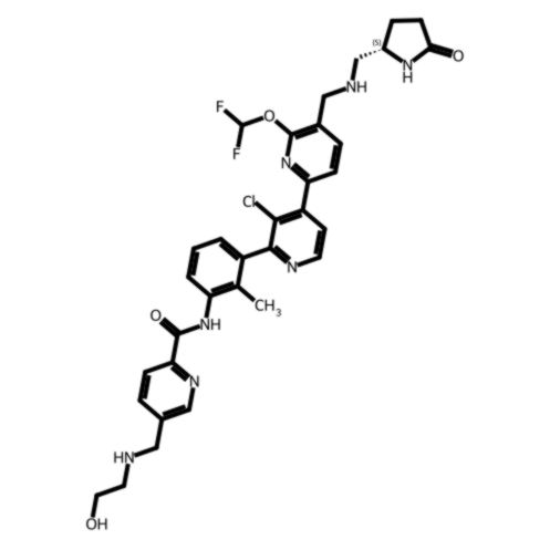 Cc1c(NC(=O)c2ccc(CNCCO)cn2)cccc1-c1nccc(-c2ccc(CNC[C@@H]3CCC(=O)N3)c(OC(F)F)n2)c1Cl